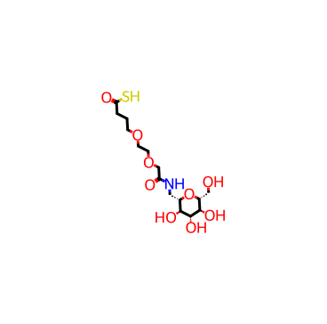 O=C(S)CCCOCCOCC(=O)NC[C@@H]1O[C@H](CO)[C@@H](O)[C@H](O)[C@H]1O